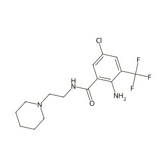 Nc1c(C(=O)NCCN2CCCCC2)cc(Cl)cc1C(F)(F)F